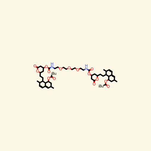 CCC(C)C(=O)OC1CC(C)C=C2C=CC(C)C(CCC3CC(OC(=O)NCCOCCOCCOCCNC(=O)OC4CC(=O)OC(CCC5C(C)C=CC6=CC(C)CC(OC(=O)C(C)CC)C65)C4)CC(=O)O3)C21